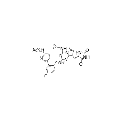 CC(=O)Nc1ccc(-c2cc(F)ccc2CNc2nc(NC3CC3)n3ncc(/C=C4\NC(=O)NC4=O)c3n2)cn1